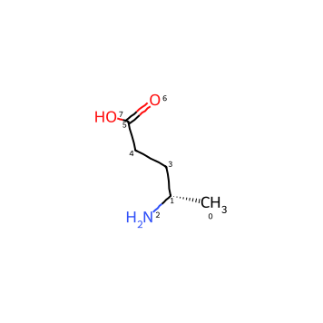 C[C@H](N)CCC(=O)O